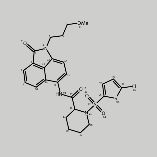 COCCCN1C(=O)c2cccc3c(NC(=O)C4CCCCN4S(=O)(=O)c4ccc(Cl)s4)ccc1c23